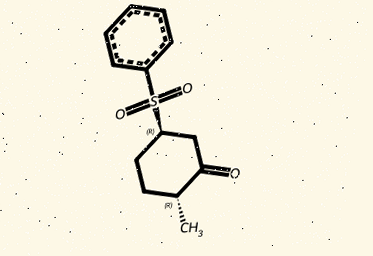 C[C@@H]1CC[C@@H](S(=O)(=O)c2ccccc2)CC1=O